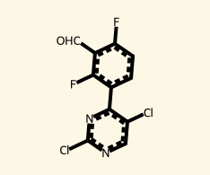 O=Cc1c(F)ccc(-c2nc(Cl)ncc2Cl)c1F